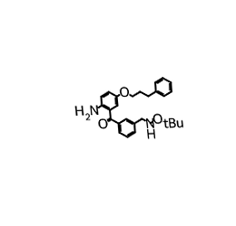 CC(C)(C)ONCc1cccc(C(=O)c2cc(OCCCc3ccccc3)ccc2N)c1